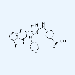 OB(O)C1CCC(Nc2ncc3nc(Nc4c(F)cccc4F)n(C4CCOCC4)c3n2)CC1